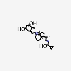 C=C1C(=C/C=C2\CCC[C@]3(C)[C@@H]([C@H](C)/C=C/[C@@H](O)C4CC4)CC[C@@H]23)C[C@@H](O)C[C@@H]1O